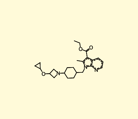 CCOC(=O)c1c(C)n(CC2CCC(N3CC(OC4CC4)C3)CC2)c2ncccc12